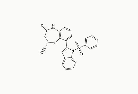 C#C[C@@H]1CC(=O)Nc2cccc(-c3cc4ccccc4n3S(=O)(=O)c3ccccc3)c2O1